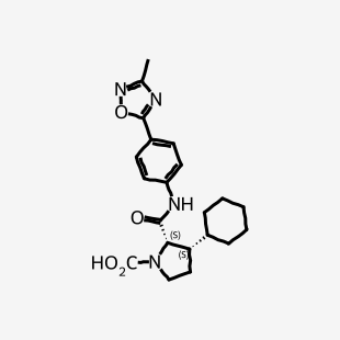 Cc1noc(-c2ccc(NC(=O)[C@@H]3[C@H](C4CCCCC4)CCN3C(=O)O)cc2)n1